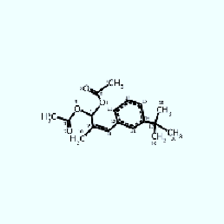 CC(=O)OC(OC(C)=O)C(C)=Cc1cccc(C(C)(C)C)c1